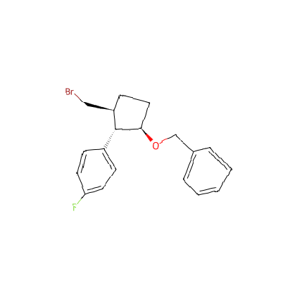 Fc1ccc([C@@H]2[C@@H](CBr)CC[C@H]2OCc2ccccc2)cc1